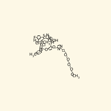 COCCOCCOCCOCCOCC1CC(c2nccc(COc3ccc4cc3C[C@H](C(=O)O)Oc3ncnc5sc(-c6ccc(F)cc6)c(c35)-c3c(C)c(Cl)c(c(Cl)c3C)O[C@H](CN3CCN(C)CC3)CO4)n2)C1